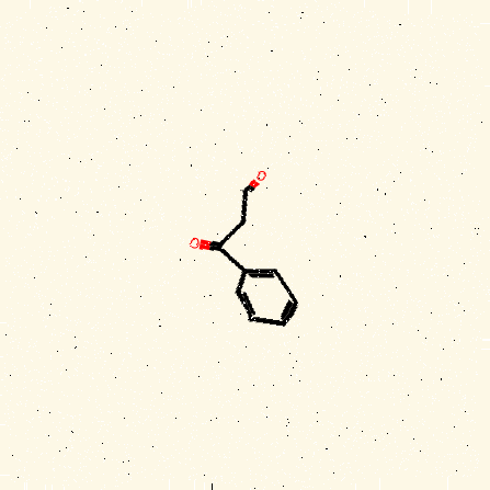 O=[C]CC(=O)c1ccccc1